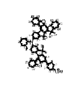 Cc1ccccc1N(c1ccc2c(c1)C(C)(C)c1cc(-c3ccc(C(C)(C)C)cc3)c3oc4ccccc4c3c1-2)c1ccc2c(c1)C(C)(C)c1c3c(c4oc5ccccc5c4c1-2)-c1ccccc1C3(C)C